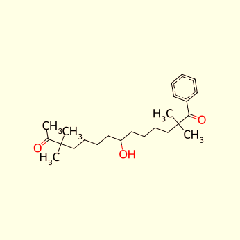 CC(=O)C(C)(C)CCCCC(O)CCCCC(C)(C)C(=O)c1ccccc1